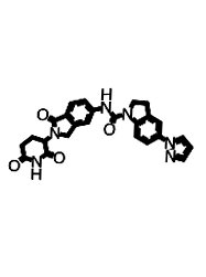 O=C1CCC(N2Cc3cc(NC(=O)N4CCc5cc(-n6cccn6)ccc54)ccc3C2=O)C(=O)N1